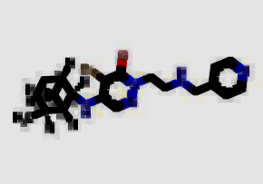 C[C@H]1CC[C@@H]2[C@@H](Nc3cnn(CCNCc4ccncc4)c(=O)c3Br)[C@H]1C2(C)C